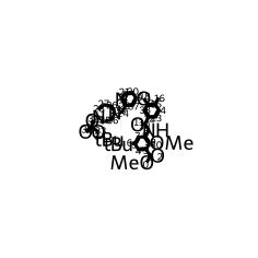 COC(=O)c1cc(C(C)(C)C)cc(NC(=O)c2ccc(C)c(Oc3ccnc(CN4CCCN(OC(=O)OC(C)(C)C)CC4)c3)c2)c1OC